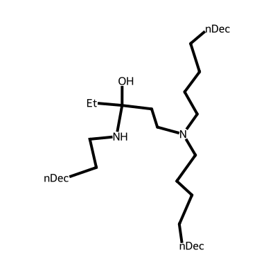 CCCCCCCCCCCCCCN(CCCCCCCCCCCCCC)CCC(O)(CC)NCCCCCCCCCCCC